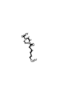 COCCCCCC(=O)N1CCN(C(=O)C(C)C)CC1